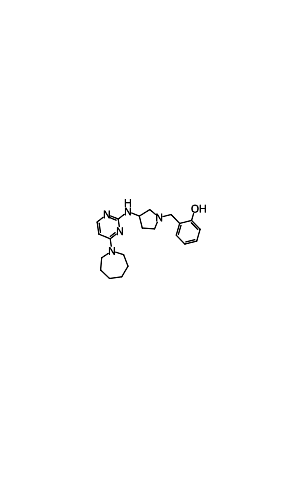 Oc1ccccc1CN1CCC(Nc2nccc(N3CCCCCC3)n2)C1